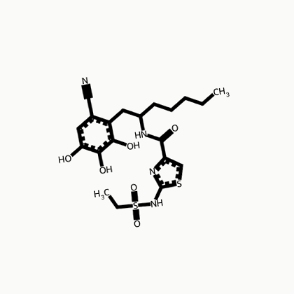 CCCCCC(Cc1c(C#N)cc(O)c(O)c1O)NC(=O)c1csc(NS(=O)(=O)CC)n1